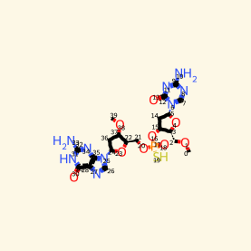 COC[C@H]1O[C@@H](n2cnc(N)nc2=O)CC1OP(=O)(S)OC[C@H]1O[C@@H](n2cnc3c(=O)[nH]c(N)nc32)CC1OC